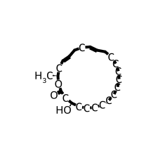 C[C@@H]1C/C=C/CC/C=C/CCCCCCCCCCCC[C@H](O)CC(=O)O1